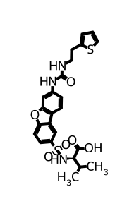 CC(C)[C@@H](NS(=O)(=O)c1ccc2oc3cc(NC(=O)NCCc4cccs4)ccc3c2c1)C(=O)O